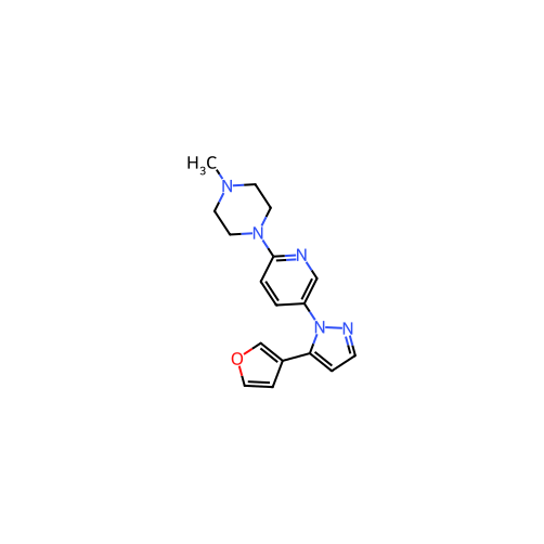 CN1CCN(c2ccc(-n3nccc3-c3ccoc3)cn2)CC1